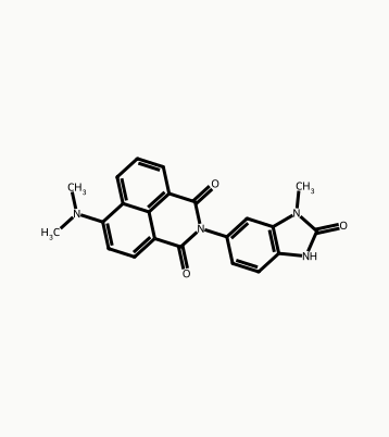 CN(C)c1ccc2c3c(cccc13)C(=O)N(c1ccc3[nH]c(=O)n(C)c3c1)C2=O